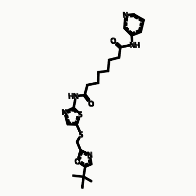 CC(C)(C)c1cnc(CSc2cnc(NC(=O)CCCCCCC(=O)Nc3cccnc3)s2)o1